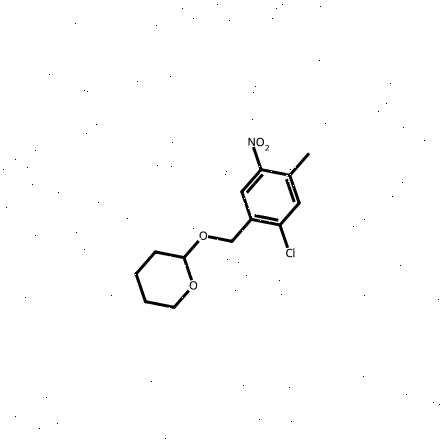 Cc1cc(Cl)c(COC2CCCCO2)cc1[N+](=O)[O-]